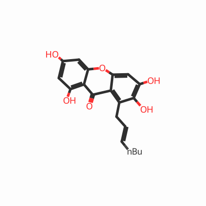 CCCCC=CCc1c(O)c(O)cc2oc3cc(O)cc(O)c3c(=O)c12